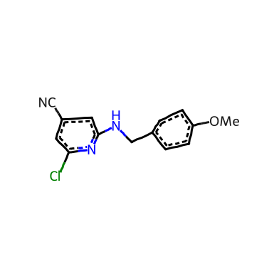 COc1ccc(CNc2cc(C#N)cc(Cl)n2)cc1